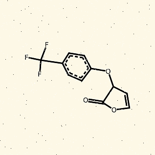 O=C1OC=CC1Oc1ccc(C(F)(F)F)cc1